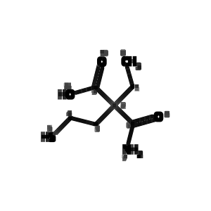 CCC(CCS)(C(N)=O)C(=O)O